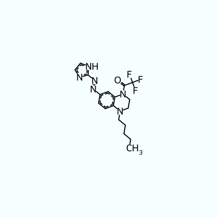 CCCCCN1CCN(C(=O)C(F)(F)F)c2cc(N=Nc3ncc[nH]3)ccc21